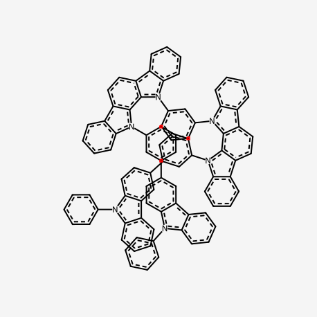 c1ccc(-n2c3ccccc3c3cc(-c4cccc(-n5c6ccccc6c6ccc7c8ccccc8n(-c8cccc(-n9c%10ccccc%10c%10ccc%11c%12ccccc%12n(-c%12cccc(-c%13ccc%14c(c%13)c%13ccccc%13n%14-c%13ccccc%13)c%12)c%11c%109)c8)c7c65)c4)ccc32)cc1